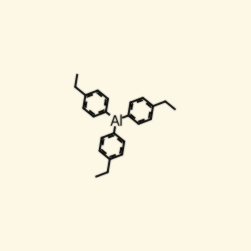 CCc1cc[c]([Al]([c]2ccc(CC)cc2)[c]2ccc(CC)cc2)cc1